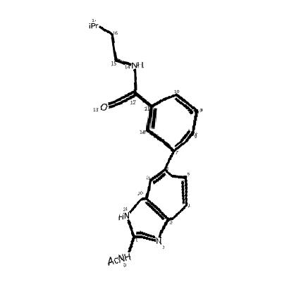 CC(=O)Nc1nc2ccc(-c3cccc(C(=O)NCCC(C)C)c3)cc2[nH]1